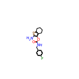 Nc1sc2c(c1OC(=O)NCc1ccc(F)cc1)CCCC2